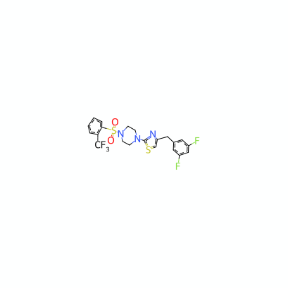 O=S(=O)(c1ccccc1C(F)(F)F)N1CCN(c2nc(Cc3cc(F)cc(F)c3)cs2)CC1